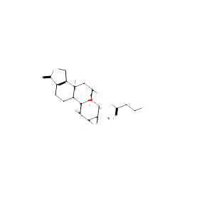 CC(C)[C@]12O[C@H]1[C@@H]1O[C@]13[C@]1(O[C@H]1C[C@@]1(C)C4=C(CC[C@]31C)C(=O)OC4)[C@@H]2OC(=O)CCC(=O)O